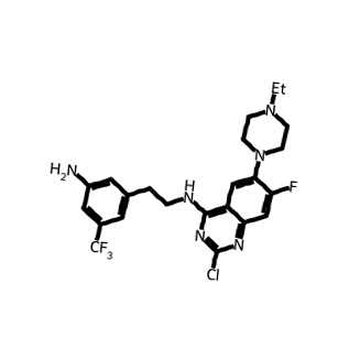 CCN1CCN(c2cc3c(NCCc4cc(N)cc(C(F)(F)F)c4)nc(Cl)nc3cc2F)CC1